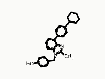 Cc1nc2c(-c3ccc(C4=CCCCC4)cc3)cccc2n1Cc1ccc(O)cc1